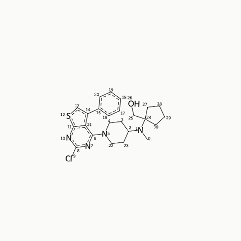 CN(C1CCN(c2nc(Cl)nc3scc(-c4ccccc4)c23)CC1)C1(CO)CCCC1